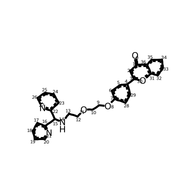 O=c1cc(-c2ccc(OCCOCCNC(c3ccccn3)c3ccccn3)cc2)oc2ccccc12